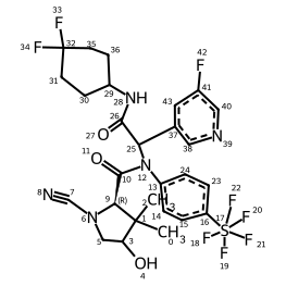 CC1(C)C(O)CN(C#N)[C@H]1C(=O)N(c1ccc(S(F)(F)(F)(F)F)cc1)C(C(=O)NC1CCC(F)(F)CC1)c1cncc(F)c1